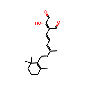 CC(C=CC1=C(C)CCCC1(C)C)=CC=CC(C=O)=C(O)C=O